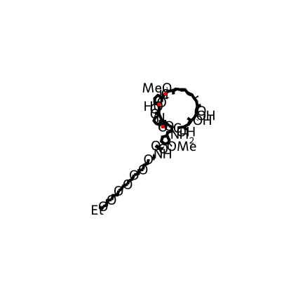 CCOCCOCCOCCOCCOCCOCCOCCNC(=O)O[C@@H]1CCC(C[C@@H](N)[C@@H]2C[C@@H](O)C(C)/C=C(\C)[C@@H](O)[C@@H](O)C(=O)C(C)C[C@H](C)/C=C/C=C/C=C(\C)[C@@H](OC)C[C@@H]3CCC[C@@](O)(O3)C(=O)C(=O)N3CCCC[C@H]3C(=O)O2)C[C@H]1OC